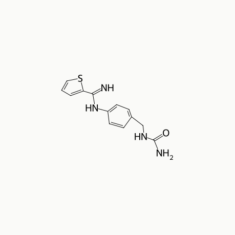 N=C(Nc1ccc(CNC(N)=O)cc1)c1cccs1